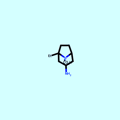 CCC12CCC(CC(N)C1)N2C(=O)O